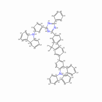 CC1(C)c2cc(-c3ccc(-n4c5ccccc5c5ccccc54)c(-c4ccccc4)c3)ccc2-c2ccc(-c3nc(-c4ccccc4)nc(-c4cccc(-n5c6ccccc6c6ccccc65)c4)n3)cc21